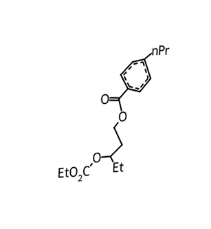 CCCc1ccc(C(=O)OCCC(CC)OC(=O)OCC)cc1